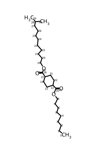 CCCCCCCCCOC(=O)C1CCC(C(=O)OCCCCCCCCCC(C)C)CC1